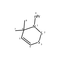 CCCN1SSC=CC1(C)C